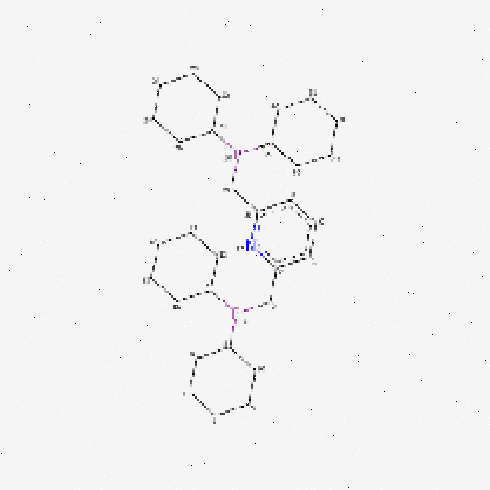 c1cc(CP(C2CCCCC2)C2CCCCC2)nc(CP(C2CCCCC2)C2CCCCC2)c1